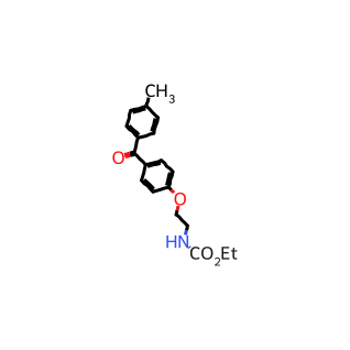 CCOC(=O)NCCOc1ccc(C(=O)c2ccc(C)cc2)cc1